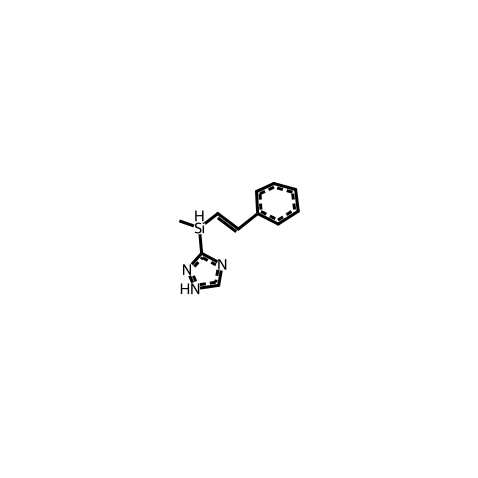 C[SiH](C=Cc1ccccc1)c1nc[nH]n1